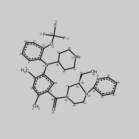 Cc1cc(C)c(N(c2ccccc2OC(F)(F)F)C2CCNCC2)cc1C(=O)N1CCN(c2ccccn2)[C@H](CO)C1